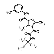 C#CC(C)(C)NC(=O)C(=O)c1c(C)sc(C(=O)Nc2cccc(O)c2)c1C